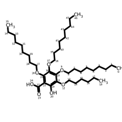 CCCCCCCCCOc1c(OCCCCCC)c(O)c(C(=O)O)c(OCCCCCCCCC)c1OCCCCCCCCC